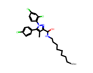 CCCCCCCCCCCCCCCCCCNC(O)c1nn(-c2ccc(Cl)cc2Cl)c(-c2ccc(Cl)cc2)c1C